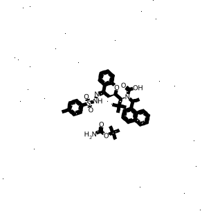 CC(C)(C)OC(N)=O.Cc1ccc(S(=O)(=O)N/N=C2\C[C@H]([C@H](N(C(=O)O)C(C)c3cccc4ccccc34)C(C)(C)C)Oc3ccccc32)cc1